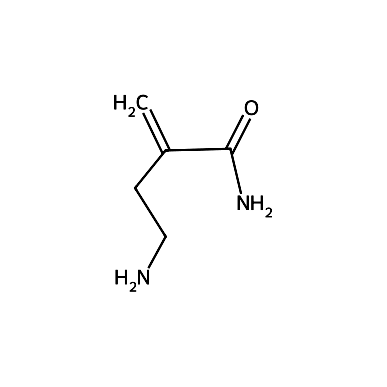 C=C(CCN)C(N)=O